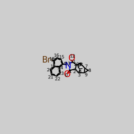 O=C1C2C3CCC(C4CC43)C2C(=O)N1c1ccc(Br)c2ccccc12